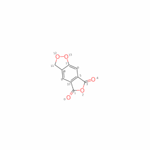 O=C1OC(=O)c2cc3c(cc21)COO3